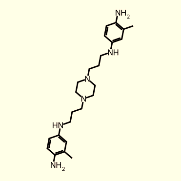 Cc1cc(NCCCN2CCN(CCCNc3ccc(N)c(C)c3)CC2)ccc1N